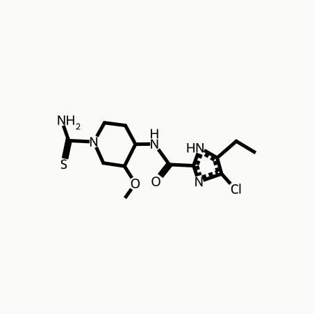 CCc1[nH]c(C(=O)NC2CCN(C(N)=S)CC2OC)nc1Cl